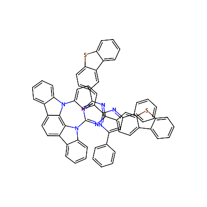 c1ccc(-c2cc(-c3ccccc3)nc(-c3cccc(-n4c5ccccc5c5ccc6c7ccccc7n(-c7nc(-c8ccc9c(c8)sc8ccccc89)nc(-c8ccc9sc%10ccccc%10c9c8)n7)c6c54)c3)n2)cc1